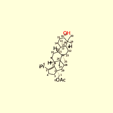 CC(=O)OC[C@]12CCC(C(C)C)=C1[C@H]1CC[C@@H]3[C@@]4(C)CC[C@H](O)C(C)(C)[C@H]4CC[C@@]3(C)[C@]1(C)CC2